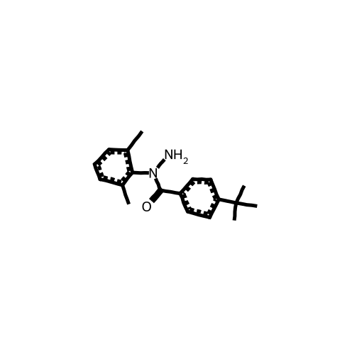 Cc1cccc(C)c1N(N)C(=O)c1ccc(C(C)(C)C)cc1